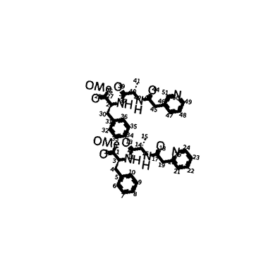 COC(=O)[C@H](Cc1ccccc1)NC(=O)[C@H](C)NC(=O)Cc1ccccn1.COC(=O)[C@H](Cc1ccccc1)NC(=O)[C@H](C)NC(=O)Cc1cccnc1